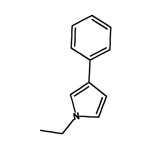 CCn1ccc(-c2ccccc2)c1